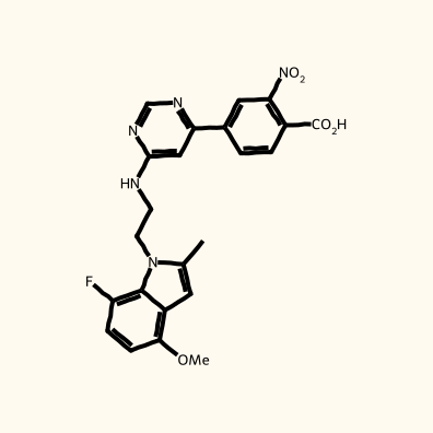 COc1ccc(F)c2c1cc(C)n2CCNc1cc(-c2ccc(C(=O)O)c([N+](=O)[O-])c2)ncn1